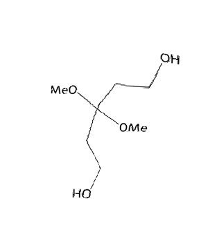 COC(CCO)(CCO)OC